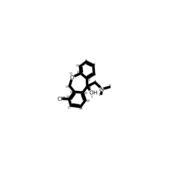 CN(C)CC1(O)c2ccccc2OCc2c(Cl)cccc21